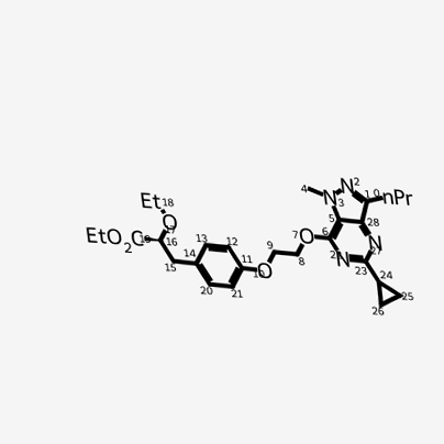 CCCc1nn(C)c2c(OCCOc3ccc(C[C@H](OCC)C(=O)OCC)cc3)nc(C3CC3)nc12